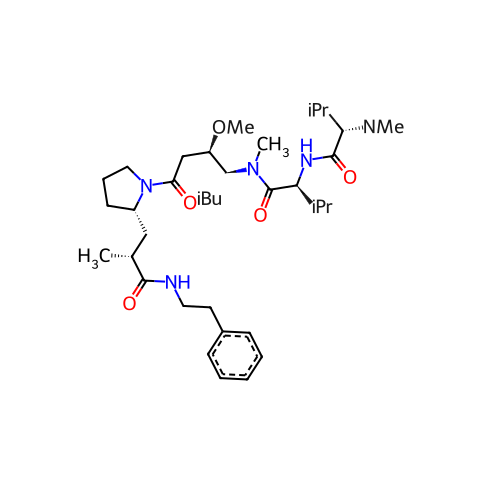 CC[C@H](C)[C@@H]([C@@H](CC(=O)N1CCC[C@H]1C[C@@H](C)C(=O)NCCc1ccccc1)OC)N(C)C(=O)[C@@H](NC(=O)[C@@H](NC)C(C)C)C(C)C